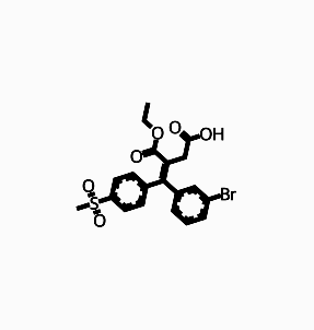 CCOC(=O)C(CC(=O)O)=C(c1ccc(S(C)(=O)=O)cc1)c1cccc(Br)c1